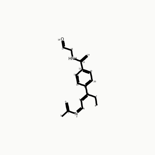 C=C(C)/N=C\C=C(/CC)c1ccc(C(=C)NCC=O)cc1